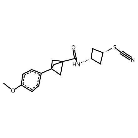 COc1ccc(C23CC(C(=O)N[C@H]4C[C@@H](SC#N)C4)(C2)C3)cc1